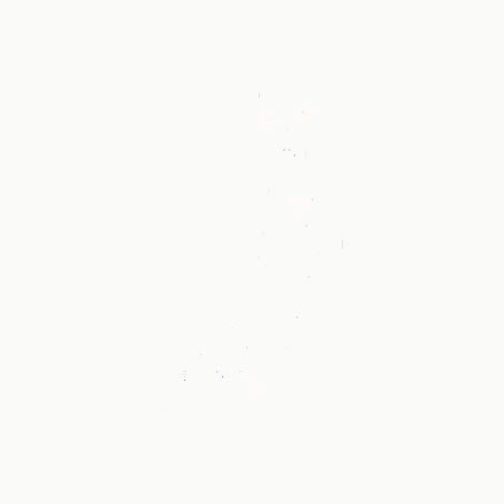 CC(C)(C)OC(=O)NCC1Cc2cc(-c3ccc(C(=O)N4CC(F)(F)C4)cc3)cc(Cl)c2O1